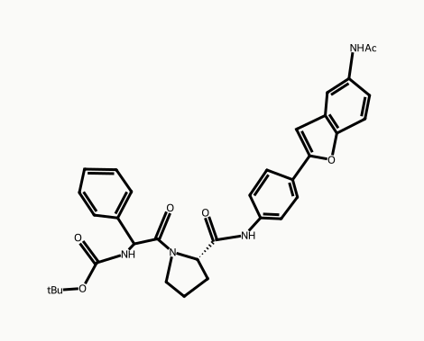 CC(=O)Nc1ccc2oc(-c3ccc(NC(=O)[C@@H]4CCCN4C(=O)C(NC(=O)OC(C)(C)C)c4ccccc4)cc3)cc2c1